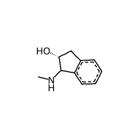 CNC1c2ccccc2C[C@H]1O